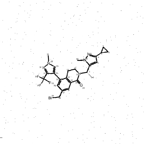 C[C@@H](c1cc(C2CC2)nn1C)N1CCc2c(cc(CBr)cc2-c2cn(C)nc2C(F)(F)F)C1=O